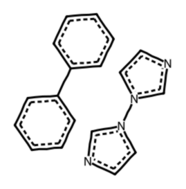 c1ccc(-c2ccccc2)cc1.c1cn(-n2ccnc2)cn1